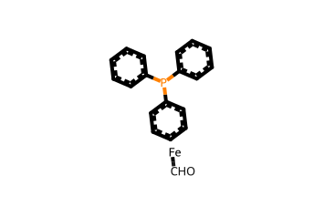 O=[CH][Fe].c1ccc(P(c2ccccc2)c2ccccc2)cc1